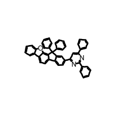 c1ccc(-c2cc(-c3ccc4c(c3)C(c3ccccc3)(c3ccccc3)c3c-4ccc4c3oc3ccccc34)nc(-c3ccccc3)n2)cc1